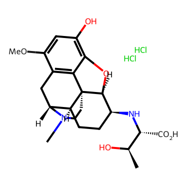 COc1cc(O)c2c3c1C[C@@H]1[C@@H]4CC[C@H](N[C@H](C(=O)O)[C@@H](C)O)[C@H](O2)[C@]34CCN1C.Cl.Cl